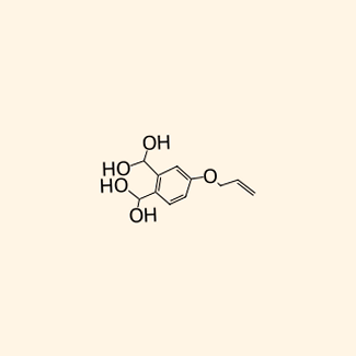 C=CCOc1ccc(C(O)O)c(C(O)O)c1